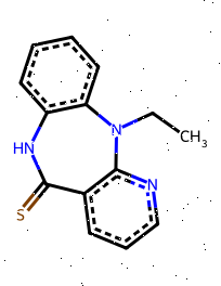 CCN1c2ccccc2NC(=S)c2cccnc21